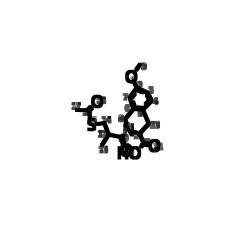 COc1ccc2c(c1)CN(C(=O)C(C)CSC(C)=O)C(C(=O)O)C2